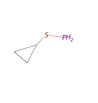 PSC1CC1